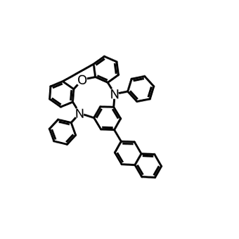 c1ccc(N2c3cc(-c4ccc5ccccc5c4)cc(c3)N(c3ccccc3)c3cccc4c3oc3c2cccc34)cc1